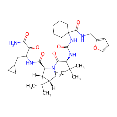 CC(C)(C)[C@H](NC(=O)NC1(C(=O)NCc2ccco2)CCCCC1)C(=O)N1C[C@H]2[C@@H]([C@H]1C(=O)NC(CC1CC1)C(=O)C(N)=O)C2(C)C